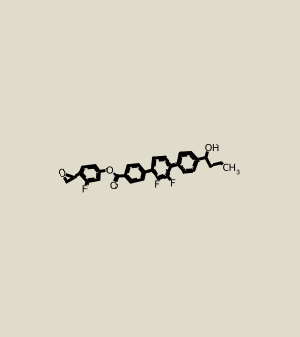 CCCC(O)c1ccc(-c2ccc(-c3ccc(C(=O)Oc4ccc(C5CO5)c(F)c4)cc3)c(F)c2F)cc1